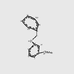 [CH2-][OH+]c1cccc(OCc2ccccc2)c1